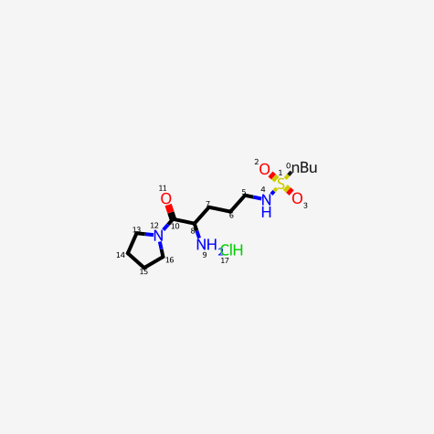 CCCCS(=O)(=O)NCCCC(N)C(=O)N1CCCC1.Cl